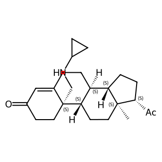 CC(=O)[C@H]1CC[C@H]2[C@@H]3CCC4=CC(=O)CC[C@]4(CNC4CC4)[C@H]3CC[C@]12C